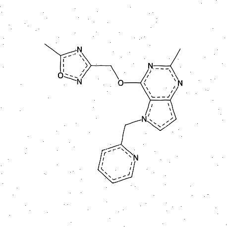 Cc1nc(OCc2noc(C)n2)c2c(ccn2Cc2ccccn2)n1